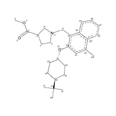 COC(=O)C1CCN(Cc2c(O[C@H]3CC[C@H](C(C)(C)C)CC3)cc(C)c3ccccc23)C1